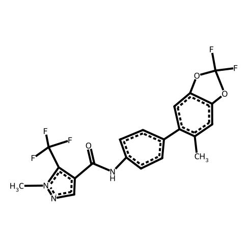 Cc1cc2c(cc1-c1ccc(NC(=O)c3cnn(C)c3C(F)(F)F)cc1)OC(F)(F)O2